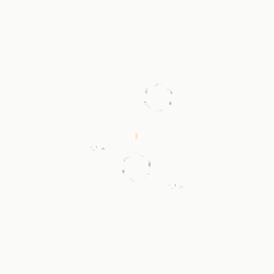 COc1ccc(OC)c(PCc2ccccc2)c1